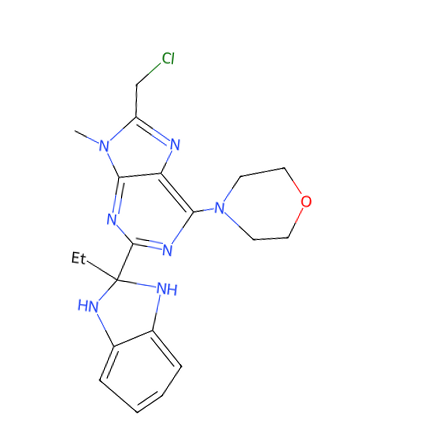 CCC1(c2nc(N3CCOCC3)c3nc(CCl)n(C)c3n2)Nc2ccccc2N1